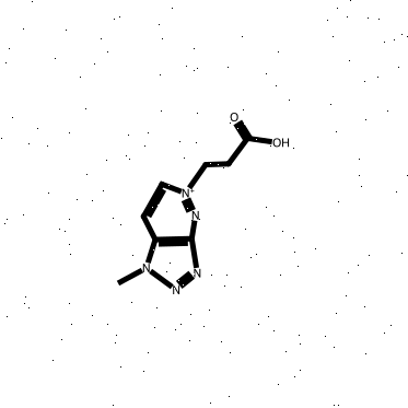 Cn1nnc2n[n+](CCC(=O)O)ccc21